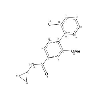 COc1cc(C(=O)NC2CC2)ccc1-c1ncccc1Cl